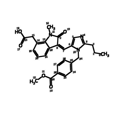 CCCc1ncc(C=C2C(=O)N(C)c3c(CC(=O)O)cccc32)n1Cc1ccc(C(=O)OC)cc1